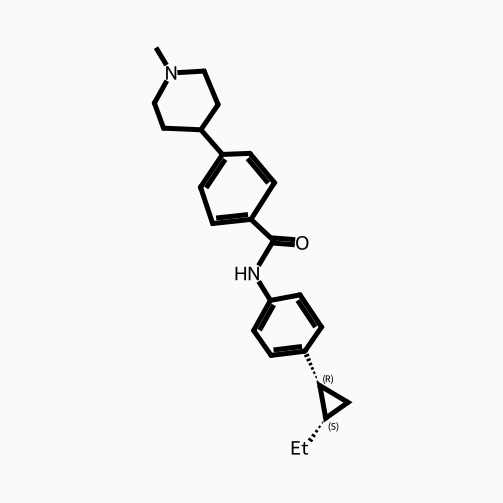 CC[C@H]1C[C@H]1c1ccc(NC(=O)c2ccc(C3CCN(C)CC3)cc2)cc1